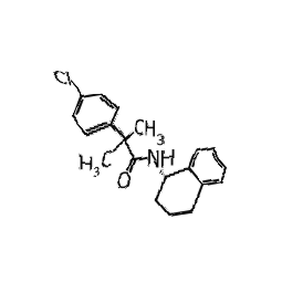 CC(C)(C(=O)N[C@H]1CCCc2ccccc21)c1ccc(Cl)cc1